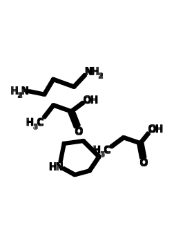 C1CCNCC1.CCC(=O)O.CCC(=O)O.NCCCN